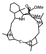 COC(=O)C1C2NC(CC3CC(C)C(CC4CC(C)C(CC5NC1(C(=O)OC)C1(C)CCCCC51)N4)N3)CC2C